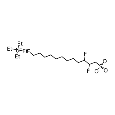 CC[N+](CC)(CC)CC.O=S(=O)([O-])CC(F)C(F)CCCCCCCCCF